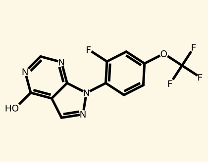 Oc1ncnc2c1cnn2-c1ccc(OC(F)(F)F)cc1F